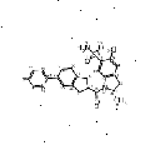 C[C@H]1Cc2cc(Cl)c(S(N)(=O)=O)cc2N1C(=O)C1Cc2ccc(-c3ccccn3)cc2C1